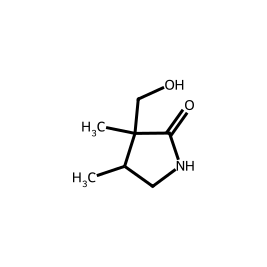 CC1CNC(=O)C1(C)CO